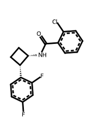 O=C(N[C@H]1CC[C@H]1c1ccc(F)cc1F)c1ccccc1Cl